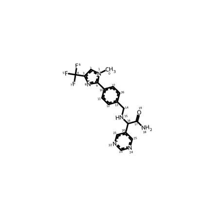 Cn1cc(C(F)(F)F)nc1-c1ccc(CNC(C(N)=O)c2cncnc2)cc1